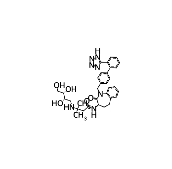 CC(C)(CC(=O)N[C@@H]1CCc2ccccc2N(Cc2ccc(-c3ccccc3-c3nnn[nH]3)cc2)C1=O)NC[C@H](O)[C@@H](O)CO